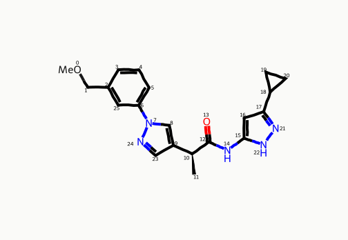 COCc1cccc(-n2cc([C@H](C)C(=O)Nc3cc(C4CC4)n[nH]3)cn2)c1